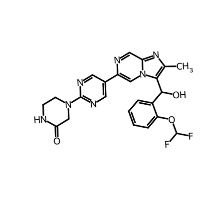 Cc1nc2cnc(-c3cnc(N4CCNC(=O)C4)nc3)cn2c1C(O)c1ccccc1OC(F)F